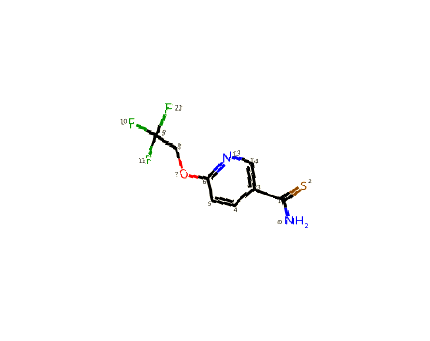 NC(=S)c1ccc(OCC(F)(F)F)nc1